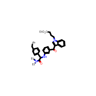 CCOC(=O)CCCn1cc(C(=O)c2cccc(NC(C(=O)N(CC)CC)c3ccc(CC(C)C)cc3)c2)c2ccccc21